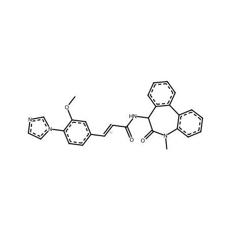 COc1cc(/C=C/C(=O)NC2C(=O)N(C)c3ccccc3-c3ccccc32)ccc1-n1ccnc1